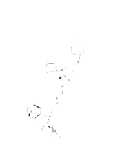 N#CN=C(N)N(CCCCCCCN(CCCN1CCOCC1)S(=O)(=O)C1CCCC1)c1ccncc1